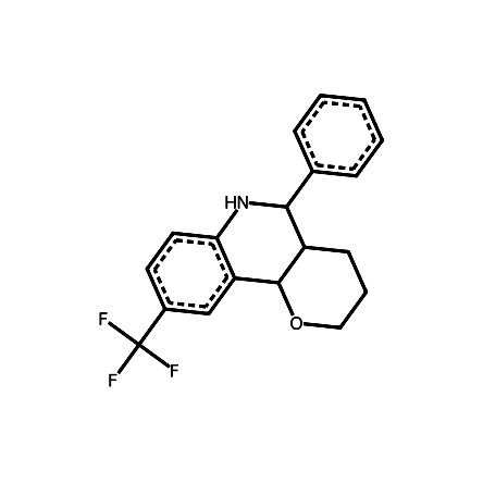 FC(F)(F)c1ccc2c(c1)C1OCCCC1C(c1ccccc1)N2